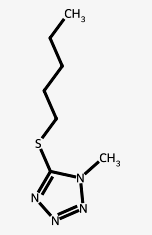 CCCCCSc1nnnn1C